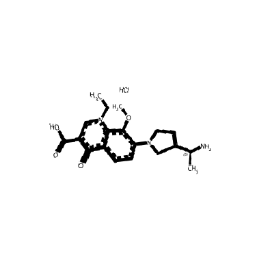 CCn1cc(C(=O)O)c(=O)c2ccc(N3CCC([C@H](C)N)C3)c(OC)c21.Cl